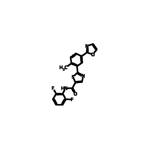 Cc1ccc(-c2ncco2)cc1-c1ncc(C(=O)Nc2c(F)cccc2F)s1